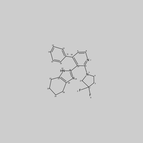 FC1(F)CCN(c2nccc(-c3ccccc3)c2-c2nc3c([nH]2)CCCC3)C1